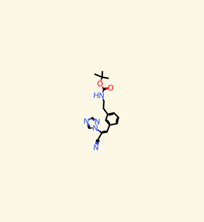 CC(C)(C)OC(=O)NCCc1cccc(C=C(C#N)n2cncn2)c1